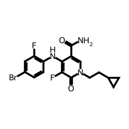 NC(=O)c1cn(CCC2CC2)c(=O)c(F)c1Nc1ccc(Br)cc1F